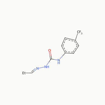 CC/C=N/NC(=O)Nc1ccc(C(F)(F)F)cc1